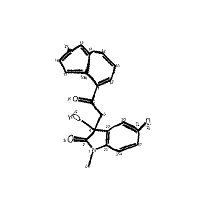 CN1C(=O)C(O)(CC(=O)c2cccc3ccccc23)c2cc(Cl)ccc21